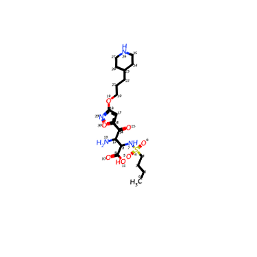 CCCCS(=O)(=O)NC(C(=O)O)C(N)C(=O)c1cc(OCCCC2CCNCC2)no1